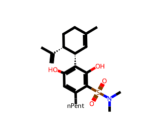 C=C(C)[C@@H]1CCC(C)=C[C@@H]1c1c(O)cc(CCCCC)c(S(=O)(=O)N(C)C)c1O